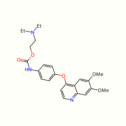 CCN(CC)CCOC(=O)Nc1ccc(Oc2ccnc3cc(OC)c(OC)cc23)cc1